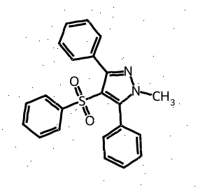 Cn1nc(-c2ccccc2)c(S(=O)(=O)c2ccccc2)c1-c1ccccc1